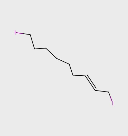 ICC=CCCCCCCI